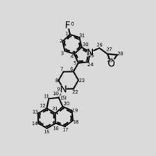 Fc1ccc2c(C3CCN([C@H]4Cc5cccc6cccc4c56)CC3)cn(CC3CO3)c2c1